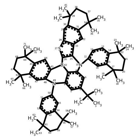 CC(C)(C)c1cc2c3c(c1)N(c1ccc4c(c1)C(C)(C)CCC4(C)C)c1c(sc4cc5c(cc14)C(C)(C)CCC5(C)C)B3c1cc3c(cc1N2c1ccc2c(c1)C(C)(C)CCC2(C)C)C(C)(C)CCC3(C)C